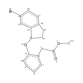 CCOC(=O)Cc1ccccc1OC1CCc2ccc(Br)cc21